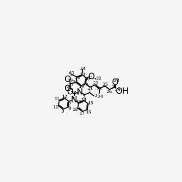 CCCN(C(=O)N(c1ccccc1)c1ccccc1)c1c(C/C=C(\C)CCC(=O)O)c(OC)c(C)c2c1C(=O)OC2